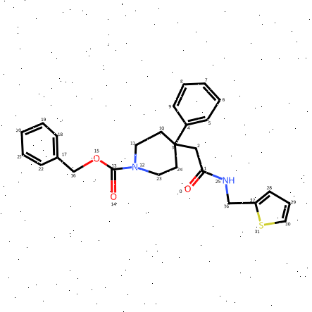 O=C(CC1(c2ccccc2)CCN(C(=O)OCc2ccccc2)CC1)NCc1cccs1